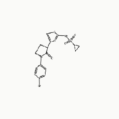 O=C1C(c2csc(NS(=O)(=O)C3CC3)n2)CCN1c1ccc(Br)cc1